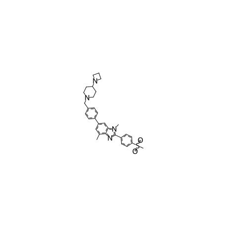 Cc1cc(-c2ccc(CN3CCC(N4CCC4)CC3)cc2)cc2c1nc(-c1ccc(S(C)(=O)=O)cc1)n2C